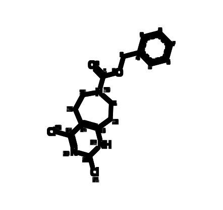 O=C(OCc1ccccc1)N1CCC2=C(CC1)C(Cl)=NC(Cl)N2